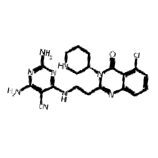 N#Cc1c(N)nc(N)nc1NCCc1nc2cccc(Cl)c2c(=O)n1[C@@H]1CCCNC1